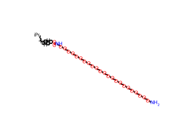 CC(C)CCC[C@@H](C)[C@H]1CC[C@H]2[C@@H]3CC=C4CC(OC(=O)NCCOCCOCCOCCOCCOCCOCCOCCOCCOCCOCCOCCOCCOCCOCCOCCOCCOCCOCCOCCOCCOCCOCCOCCN)CC[C@]4(C)[C@H]3CC[C@]12C